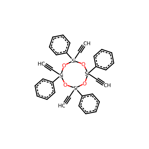 C#C[Si]1(c2ccccc2)O[Si](C#C)(c2ccccc2)O[Si](C#C)(c2ccccc2)O[Si](C#C)(c2ccccc2)O1